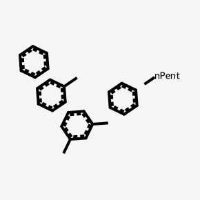 CCCCCC.Cc1cccc(C)c1.Cc1ccccc1.c1ccccc1.c1ccccc1